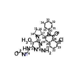 Cc1c(N/C=N\C=O)nc(N)nc1N1CCCC1c1cc2cccc(Cl)c2c(=O)n1-c1ccccc1